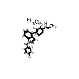 C=CNc1ccc(-c2cccc3c2ccn3Cc2ccc(F)cc2)cc1OC